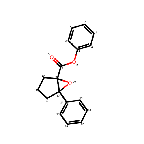 O=C(Oc1ccccc1)C12CCCC1(c1ccccc1)O2